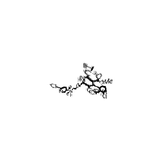 CCOC(=O)C1=C(COCCNS(=O)(=O)c2ccc(Cl)nc2)NC(C)=C(C(=O)OC)C1c1cccc(Cl)c1Cl